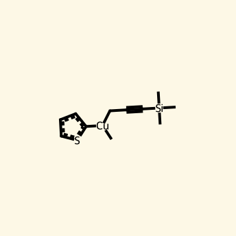 [CH3][Cu]([CH2]C#C[Si](C)(C)C)[c]1cccs1